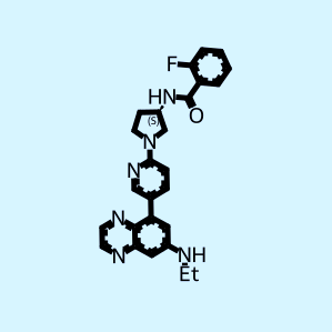 CCNc1cc(-c2ccc(N3CC[C@H](NC(=O)c4ccccc4F)C3)nc2)c2nccnc2c1